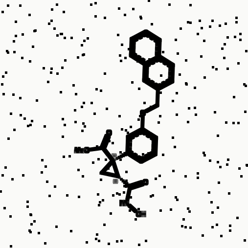 COC(=O)[C@]1(c2cccc(OCc3ccc4ccccc4c3)c2)C[C@H]1C(=O)NO